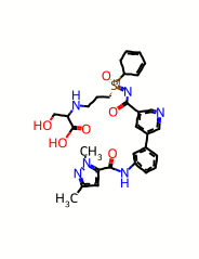 Cc1cc(C(=O)Nc2cccc(-c3cncc(C(=O)N=[S@](=O)(CCCNC(CO)C(=O)O)C4C=CC=CC4)c3)c2)n(C)n1